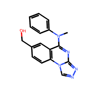 CN(c1ccccc1)c1nc2nncn2c2ccc(CO)cc12